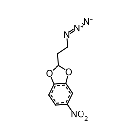 [N-]=[N+]=NCCC1Oc2ccc([N+](=O)[O-])cc2O1